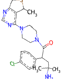 CC1SCc2ncnc(N3CCN(C(=O)C(CC(C)(C)N)c4ccc(Cl)cc4)CC3)c21